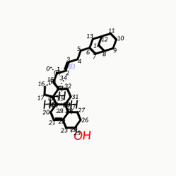 C[C@H](/C=C/CCC1CC2CCCC(C1)C2)[C@H]1CC[C@H]2[C@@H]3CC=C4C[C@@H](O)CC[C@]4(C)[C@H]3CC[C@]12C